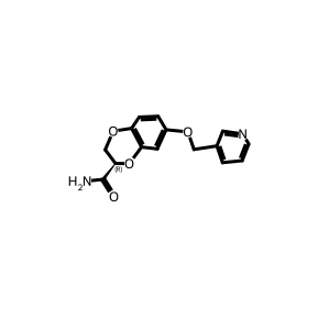 NC(=O)[C@H]1COc2ccc(OCc3cccnc3)cc2O1